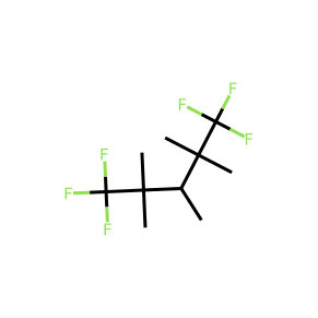 CC(C(C)(C)C(F)(F)F)C(C)(C)C(F)(F)F